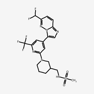 CS(=O)(=O)NCC1CCCN(c2cc(-c3cnc4ccc(C(F)F)nn34)cc(C(F)(F)F)n2)C1